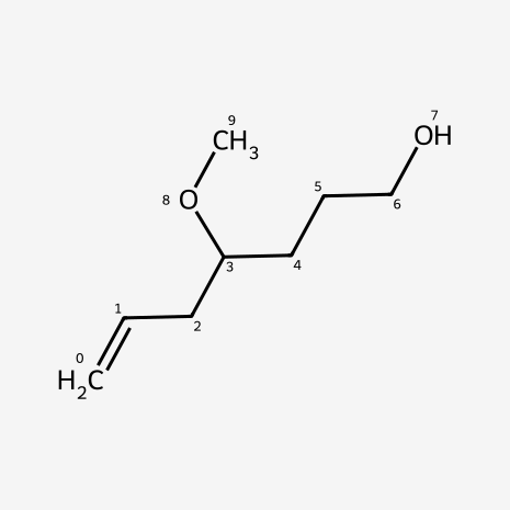 C=CCC(CCCO)OC